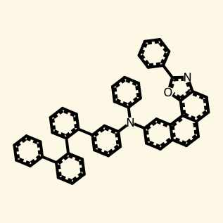 c1ccc(-c2nc3ccc4ccc5ccc(N(c6ccccc6)c6cccc(-c7ccccc7-c7ccccc7-c7ccccc7)c6)cc5c4c3o2)cc1